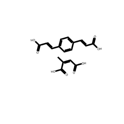 C/C(=C/C(=O)O)C(=O)O.O=C(O)C=Cc1ccc(C=CC(=O)O)cc1